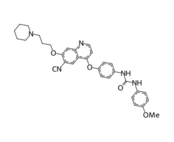 [C-]#[N+]c1cc2c(Oc3ccc(NC(=O)Nc4ccc(OC)cc4)cc3)ccnc2cc1OCCCN1CCCCC1